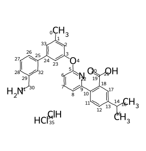 Cc1cc(Oc2cccc(-c3ccc(C(C)C)cc3C(=O)O)n2)cc(-c2cccc(CN)c2)c1.Cl.Cl